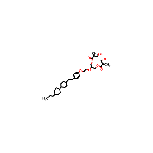 C=C(CO)C(=O)OCC(COC(=O)C(=C)CO)OCCOc1ccc(CCC2CCC(C3CCC(CCC)CC3)CC2)cc1